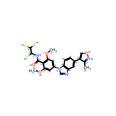 COc1cc(-n2cnc3cc(-c4conc4C)ccc32)cc(OC)c1C(=O)NC(F)C(F)F